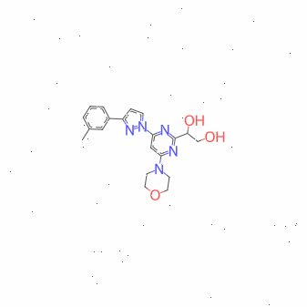 Cc1cccc(-c2ccn(-c3cc(N4CCOCC4)nc(C(O)CO)n3)n2)c1